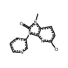 Cn1c(=O)n(-c2cccnc2)c2nc(Cl)ccc21